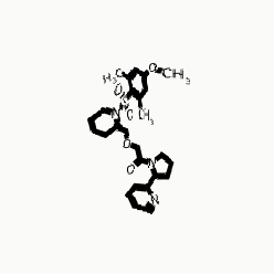 COc1cc(C)c(S(=O)(=O)N2CCCCC2COCC(=O)N2CCCC2c2ccccn2)c(C)c1